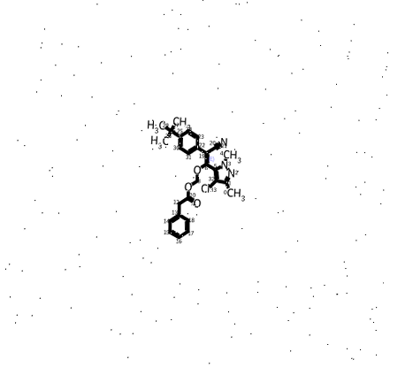 Cc1nn(C)c(/C(OCOC(=O)Cc2ccccc2)=C(\C#N)c2ccc(C(C)(C)C)cc2)c1Cl